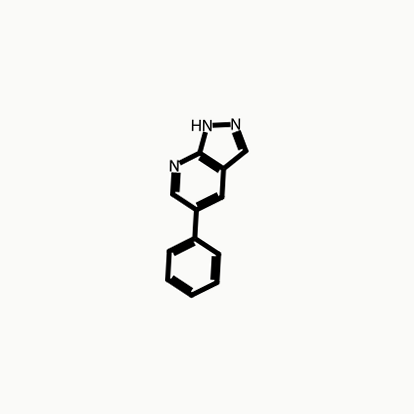 c1ccc(-c2cnc3[nH]ncc3c2)cc1